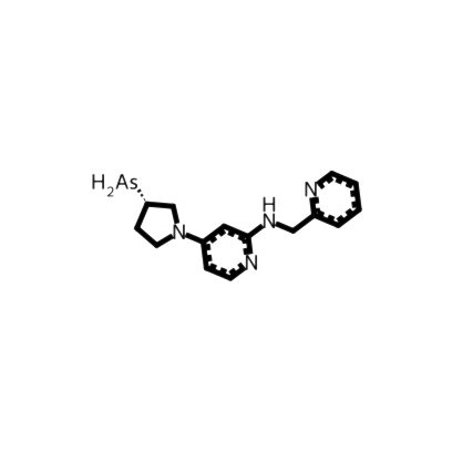 [AsH2][C@H]1CCN(c2ccnc(NCc3ccccn3)c2)C1